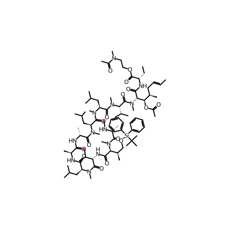 C/C=C/C[C@@H](C)[C@@H](OC(C)=O)[C@@H](C(=O)N[C@@H](CC)C(=O)OCCN(C)C(C)=O)N(C)C(=O)[C@H](C(C)C)N(C)C(=O)[C@H](CC(C)C)N(C)C(=O)[C@H](CC(C)C)N(C)C(=O)[C@@H](C)NC(=O)[C@H](C)NC(=O)[C@H](CC(C)C)N(C)C(=O)[C@@H](NC(=O)[C@H]([C@H](C)CO[Si](c1ccccc1)(c1ccccc1)C(C)(C)C)N(C)C(=O)[C@@H](C)NC)C(C)C